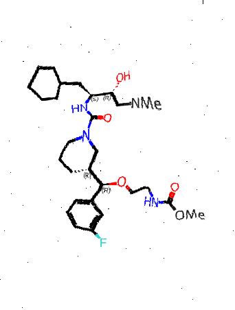 CNC[C@@H](O)[C@H](CC1CCCCC1)NC(=O)N1CCC[C@@H]([C@@H](OCCNC(=O)OC)c2cccc(F)c2)C1